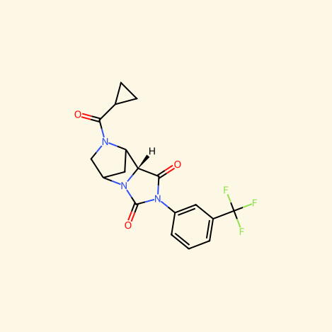 O=C1[C@H]2C3CC(CN3C(=O)C3CC3)N2C(=O)N1c1cccc(C(F)(F)F)c1